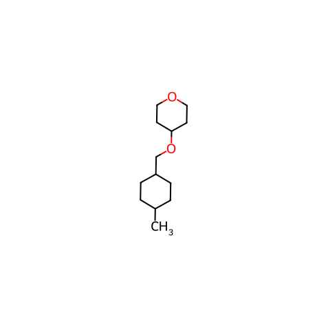 CC1CCC(COC2CCOCC2)CC1